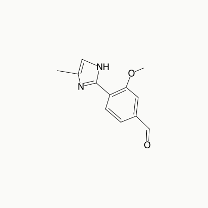 COc1cc(C=O)ccc1-c1nc(C)c[nH]1